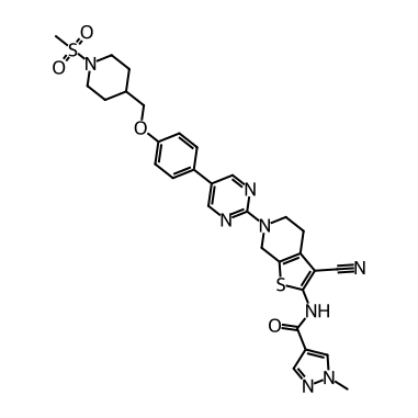 Cn1cc(C(=O)Nc2sc3c(c2C#N)CCN(c2ncc(-c4ccc(OCC5CCN(S(C)(=O)=O)CC5)cc4)cn2)C3)cn1